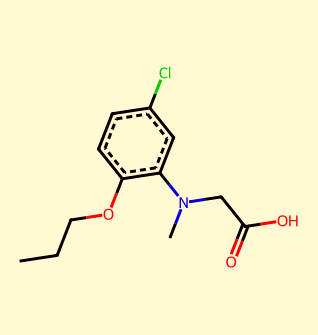 CCCOc1ccc(Cl)cc1N(C)CC(=O)O